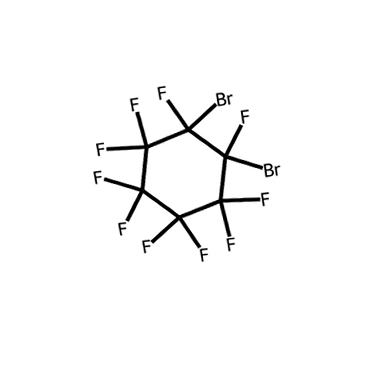 FC1(F)C(F)(F)C(F)(F)C(F)(Br)C(F)(Br)C1(F)F